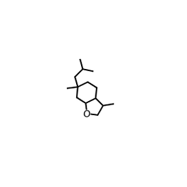 CC(C)CC1(C)CCC2C(C)COC2C1